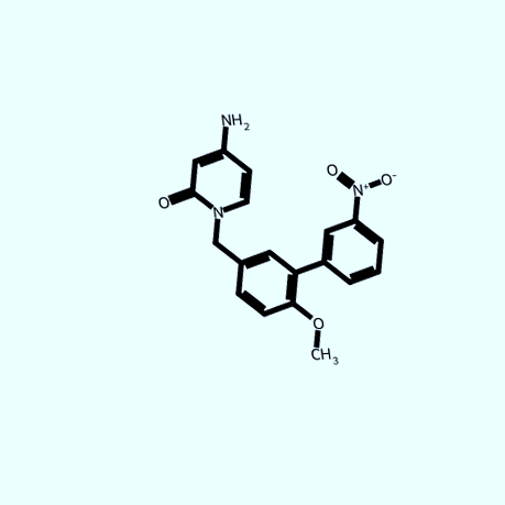 COc1ccc(Cn2ccc(N)cc2=O)cc1-c1cccc([N+](=O)[O-])c1